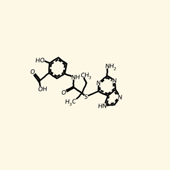 CCC(C)(Sc1nc(N)nc2nc[nH]c12)C(=O)Nc1ccc(O)c(C(=O)O)c1